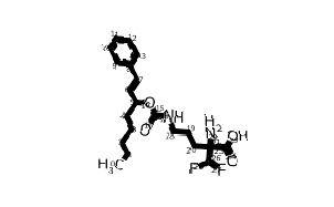 CCCCCC(C=Cc1ccccc1)OC(=O)NCCCC(N)(C(=O)O)C(F)F